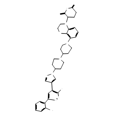 Nc1nnc(-c2ccccc2O)cc1-c1cnn(C2CCN(C3CCN(c4cccc5c4OCCN5C4CCC(=O)NC4=O)CC3)CC2)c1